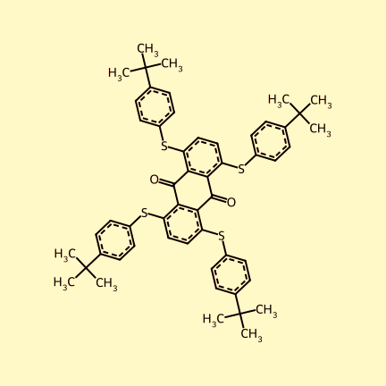 CC(C)(C)c1ccc(Sc2ccc(Sc3ccc(C(C)(C)C)cc3)c3c2C(=O)c2c(Sc4ccc(C(C)(C)C)cc4)ccc(Sc4ccc(C(C)(C)C)cc4)c2C3=O)cc1